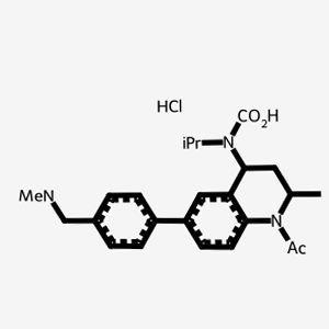 CNCc1ccc(-c2ccc3c(c2)C(N(C(=O)O)C(C)C)CC(C)N3C(C)=O)cc1.Cl